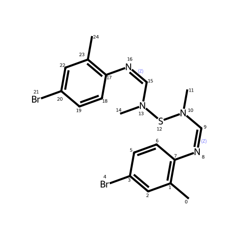 Cc1cc(Br)ccc1/N=C\N(C)SN(C)/C=N\c1ccc(Br)cc1C